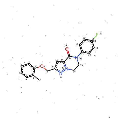 Cc1ccccc1OCc1cc2n(n1)CCN(c1ccc(F)cc1)C2=O